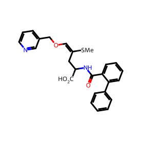 CSC(=COCc1cccnc1)CC(NC(=O)c1ccccc1-c1ccccc1)C(=O)O